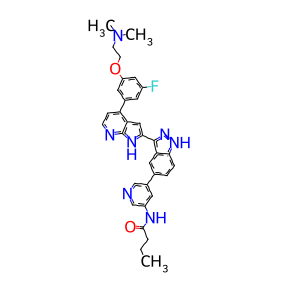 CCCC(=O)Nc1cncc(-c2ccc3[nH]nc(-c4cc5c(-c6cc(F)cc(OCCN(C)C)c6)ccnc5[nH]4)c3c2)c1